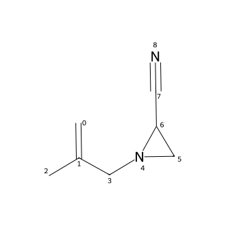 C=C(C)CN1CC1C#N